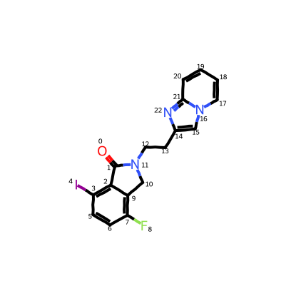 O=C1c2c(I)ccc(F)c2CN1CCc1cn2ccccc2n1